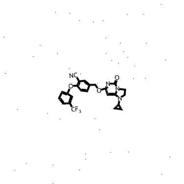 N#Cc1cc(COc2cc3n(c(=O)n2)CCN3C2CC2)ccc1Oc1cccc(C(F)(F)F)c1